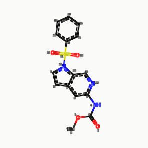 CC(C)(C)OC(=O)Nc1cc2ccn(S(=O)(=O)c3ccccc3)c2cn1